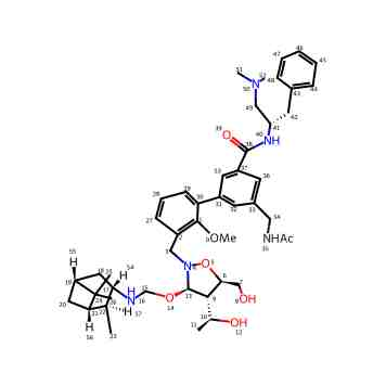 COc1c(CN2O[C@@H](CO)[C@H]([C@H](C)O)[C@H]2OCN[C@H]2C[C@H]3C[C@@H]([C@@H]2C)C3(C)C)cccc1-c1cc(CNC(C)=O)cc(C(=O)N[C@@H](Cc2ccccc2)CN(C)C)c1